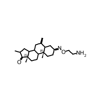 C=C1CC2C(CC[C@]3(C)C(=O)C(C)CC23)[C@@]2(C)CCC(=NOCCN)CC12